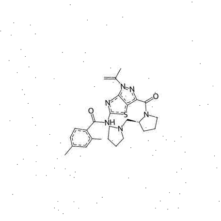 C=C(C)n1nc(C(=O)N2CCC[C@H]2CN2CCCC2)c2sc(NC(=O)c3ccc(C)cc3C)nc21